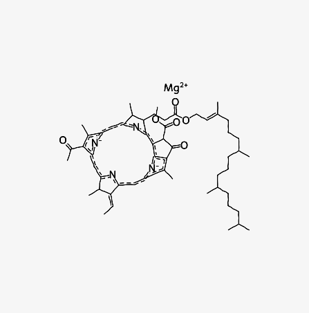 C/C=C1/c2cc3[n-]c4c(c3C)C(=O)C(C(=O)OC)c4c3nc(cc4[n-]c(cc(n2)C1C)c(C(C)=O)c4C)C(C)C3CCC(=O)OC/C=C(\C)CCCC(C)CCCC(C)CCCC(C)C.[Mg+2]